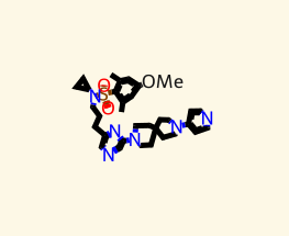 COc1cc(C)c(S(=O)(=O)N(CCCc2cncc(N3CCC4(CCN(c5ccncc5)CC4)CC3)n2)C2CC2)c(C)c1